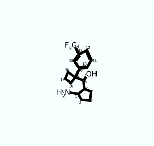 NC1CCCC1C(O)C1(c2cccc(C(F)(F)F)c2)CCC1